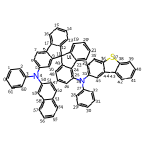 c1ccc(N(c2ccc3c(c2)C2(c4ccccc4-3)c3ccccc3-c3c(N(c4ccccc4)c4ccc5sc6ccccc6c5c4)cccc32)c2ccc3ccccc3c2)cc1